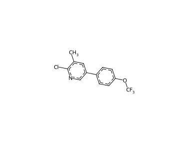 Cc1cc(-c2ccc(OC(F)(F)F)cc2)cnc1Cl